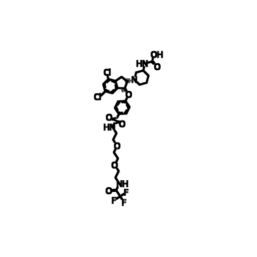 O=C(O)NC1CCCN([C@H]2Cc3c(Cl)cc(Cl)cc3[C@@H]2Oc2ccc(S(=O)(=O)NCCOCCOCCNC(=O)C(F)(F)F)cc2)C1